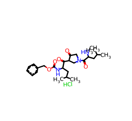 CNC(CC(C)C)C(=O)N1CC(=O)C(C(=O)C(CC(C)C)NC(=O)OCc2ccccc2)C1.Cl